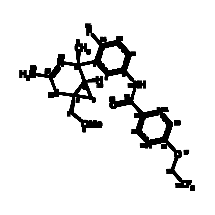 COC[C@]12C[C@H]1[C@@](C)(c1cc(NC(=O)c3cnc(OCC(F)(F)F)cn3)ccc1F)N=C(N)S2